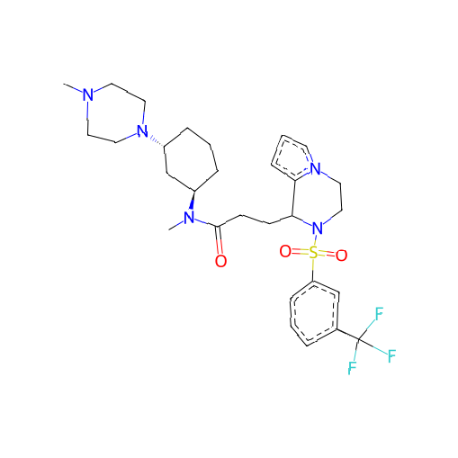 CN1CCN([C@@H]2CCC[C@@H](N(C)C(=O)CCC3c4cccn4CCN3S(=O)(=O)c3cccc(C(F)(F)F)c3)C2)CC1